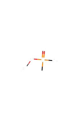 CCO[P](C)(=O)[Zn]